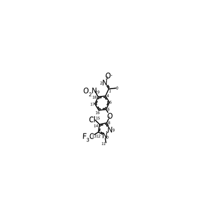 CC(=N[O])c1cc(Oc2nn(C)c(C(F)(F)F)c2Cl)ccc1[N+](=O)[O-]